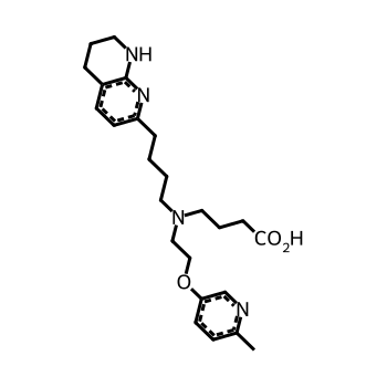 Cc1ccc(OCCN(CCCCc2ccc3c(n2)NCCC3)CCCC(=O)O)cn1